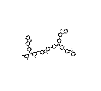 Cc1cc(C)cc(N(c2ccc(-c3ccc4c(c3)sc3ccccc34)cc2)c2cc(C)cc(Cc3ccc4sc5cc(-c6ccc(N(c7ccc(-c8ccc9c(c8)sc8ccccc89)cc7)c7ccc(-c8ccc9sc%10ccccc%10c9c8)cc7)cc6)ccc5c4c3)c2)c1